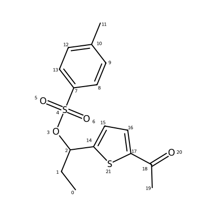 CCC(OS(=O)(=O)c1ccc(C)cc1)c1ccc(C(C)=O)s1